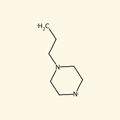 [CH2]CCN1CC[N]CC1